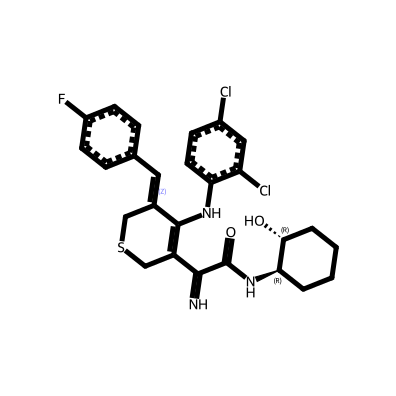 N=C(C(=O)N[C@@H]1CCCC[C@H]1O)C1=C(Nc2ccc(Cl)cc2Cl)/C(=C/c2ccc(F)cc2)CSC1